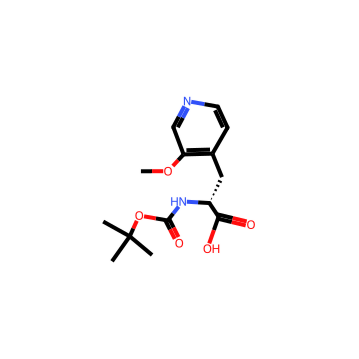 COc1cnccc1C[C@@H](NC(=O)OC(C)(C)C)C(=O)O